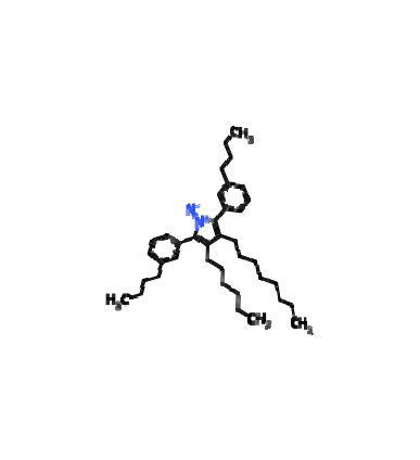 CCCCCCCCC1=C(c2cccc(CCCC)c2)[N+](=[N-])C(c2cccc(CCCC)c2)=C1CCCCCC